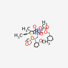 CC#Cc1sc2c(c1C)c(=O)n(OC(C)(C)C(=O)OCc1ccccc1)c(=O)n2C[C@H](OC1CCOCC1)c1ccccc1OC